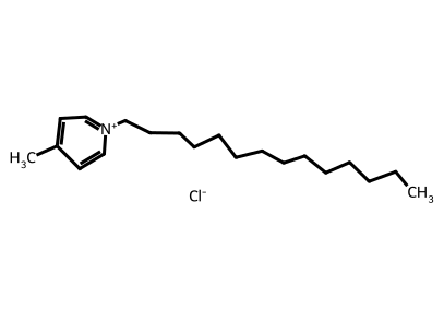 CCCCCCCCCCCCCC[n+]1ccc(C)cc1.[Cl-]